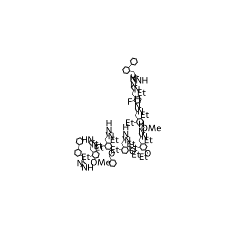 CCOc1cc(CC)c(Cc2c[nH]cn2)c(CC)c1.CCOc1ccc(CC)c(Cc2c[nH]cn2)c1CC.CCc1cc(OC)cc(CC)c1Cc1c[nH]cn1.CCc1cc(OCc2ccccc2)cc(CC)c1Cc1c[nH]cn1.CCc1ccc(OC)c(CC)c1Cc1c[nH]cn1.CCc1cccc(F)c1Cc1c[nH]cn1.c1ccc(-c2cccc(Cc3c[nH]cn3)c2)cc1.c1ccc(-c2ccccc2Cc2c[nH]cn2)cc1